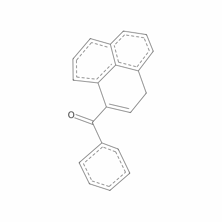 O=C(C1=CCc2cccc3cccc1c23)c1ccccc1